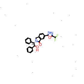 O=C1c2cc(-c3nnc(C(F)F)o3)ccc2CN1[C@@H](c1ccccc1)[C@@H](O)c1ccccc1